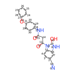 N#Cc1ccc2c(c1)NC(O)N2C(=O)CC(=O)Nc1ccc(Oc2ccccc2)cc1